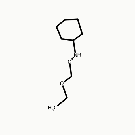 CCOCONC1CCCCC1